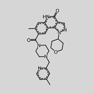 Cc1ccnc(CN2CCN(C(=O)c3cc4c(cc3C)[nH]c(=O)c3cnn(C5CCOCC5)c34)CC2)c1